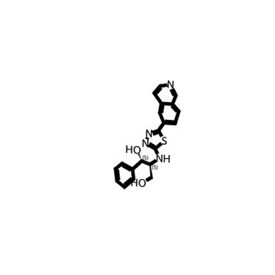 OC[C@H](Nc1nnc(-c2ccc3cnccc3c2)s1)[C@@H](O)c1ccccc1